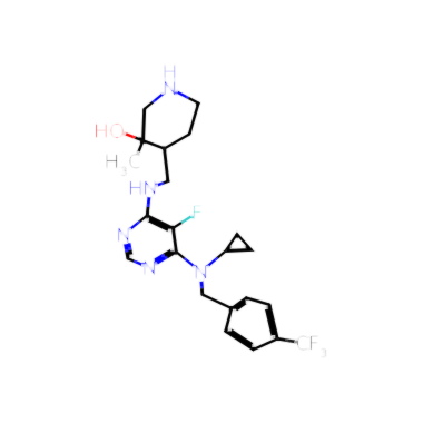 CC1(O)CNCCC1CNc1ncnc(N(Cc2ccc(C(F)(F)F)cc2)C2CC2)c1F